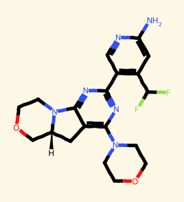 Nc1cc(C(F)F)c(-c2nc(N3CCOCC3)c3c(n2)N2CCOC[C@H]2C3)cn1